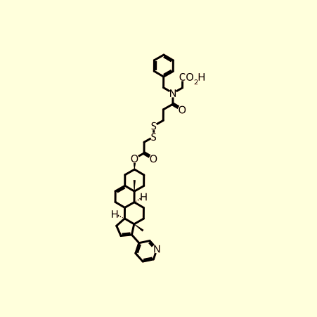 C[C@]12CC[C@H](OC(=O)CSSCCC(=O)N(CC(=O)O)Cc3ccccc3)CC1=CCC1[C@@H]2CC[C@]2(C)C(c3cccnc3)=CC[C@@H]12